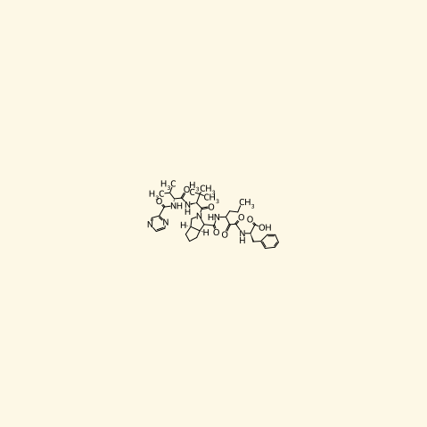 CCCC(NC(=O)C1[C@H]2CCC[C@H]2CN1C(=O)[C@@H](NC(=O)[C@H](NC(=O)c1cnccn1)C(C)C)C(C)(C)C)C(=O)C(=O)N[C@H](Cc1ccccc1)C(=O)O